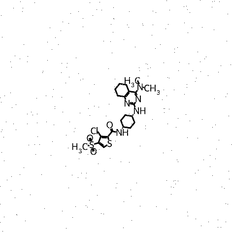 CN(C)c1nc(N[C@H]2CC[C@@H](NC(=O)c3scc(S(C)(=O)=O)c3Cl)CC2)nc2c1CCCC2